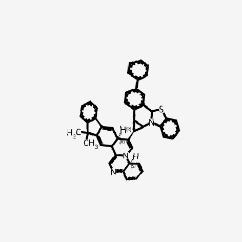 CC1(C)C2=CC3C4=CN=C5C=CC=C[C@@H]5N4C=C([C@H]4C5c6ccc(-c7ccccc7)cc6C6Sc7ccccc7N6C54)[C@@H]3C=C2c2ccccc21